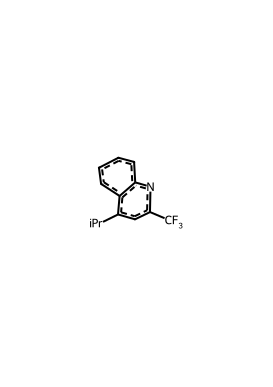 CC(C)c1cc(C(F)(F)F)nc2ccccc12